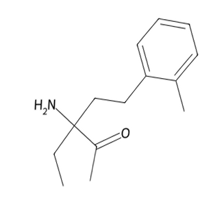 CCC(N)(CCc1ccccc1C)C(C)=O